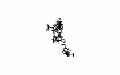 N#Cc1cnn2cc(OCCC3COC4(CNC4)C3)cc(-c3ccc(N4CC5CC(C4)N5C(=O)N4CCC(C5CC5)C4)nc3)c12